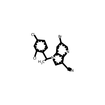 CC(c1ccc(Cl)cc1Cl)n1cc(C#N)c2ncc(Br)cc21